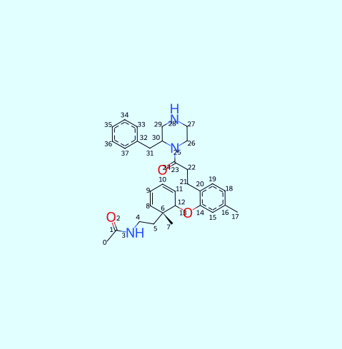 CC(=O)NCC[C@]1(C)C=CC=CC1Oc1cc(C)ccc1CCC(=O)N1CCNCC1Cc1ccccc1